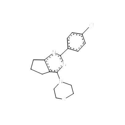 Clc1ccc(-c2nc3c(c(N4CCSCC4)n2)CCC3)cc1